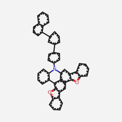 c1cc(-c2ccc(N(c3ccc4oc5ccccc5c4c3)c3ccccc3-c3cccc4c3oc3ccccc34)cc2)cc(-c2cccc3ccccc23)c1